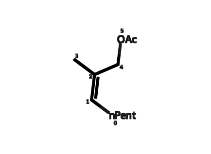 CCCCCC=C(C)COC(C)=O